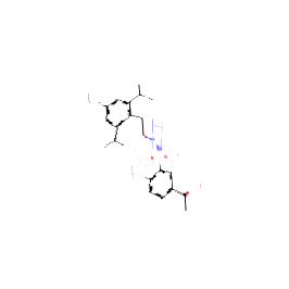 CC(=O)c1ccc(F)c(S(=O)(=O)NC(=O)Cc2c(C(C)C)cc(F)cc2C(C)C)c1